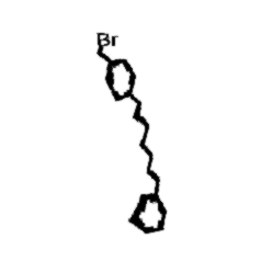 BrCc1ccc(CCCCCC=Cc2ccccc2)cc1